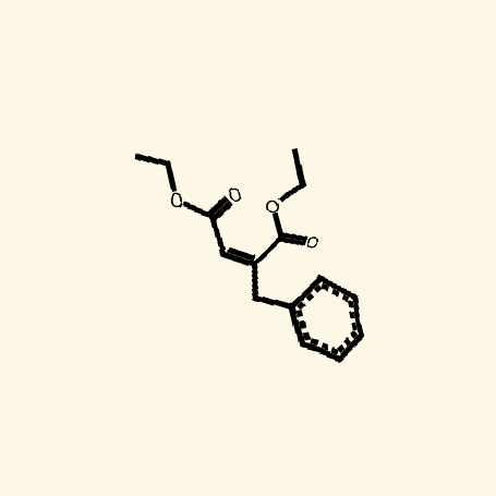 CCOC(=O)/C=C(/Cc1ccccc1)C(=O)OCC